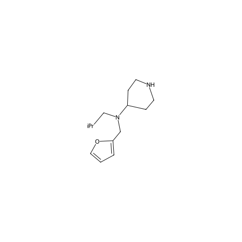 CC(C)CN(Cc1ccco1)C1CCNCC1